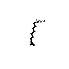 CCCCCCCCCCCCC1=CC1